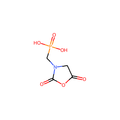 O=C1CN(CP(=O)(O)O)C(=O)O1